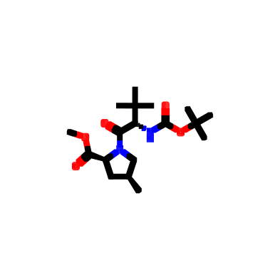 COC(=O)[C@@H]1C[C@H](C)CN1C(=O)[C@@H](NC(=O)OC(C)(C)C)C(C)(C)C